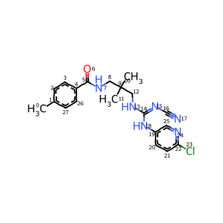 Cc1ccc(C(=O)NCC(C)(C)CNC(=NC#N)Nc2ccc(Cl)nc2)cc1